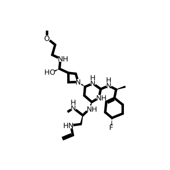 C=CNC[C@@H](NC)N[C@@H]1C[C@H](N2CC([C@H](O)NCCOC)C2)NC(N[C@@H](C)C2=CC[C@@H](F)CC2)N1